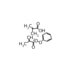 C=C(C)C(=O)O.C=C(C)C(=O)OOc1ccccc1